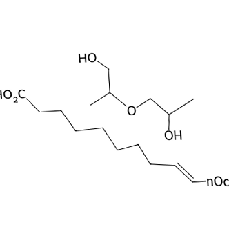 CC(O)COC(C)CO.CCCCCCCCC=CCCCCCCCC(=O)O